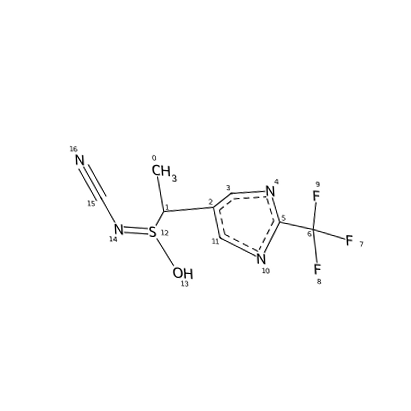 CC(c1cnc(C(F)(F)F)nc1)/S(O)=N\C#N